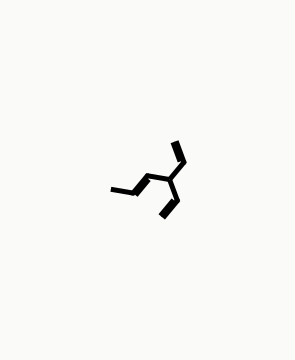 C=C[C](C=C)C=CC